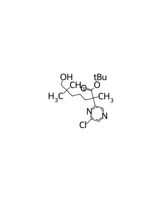 CC(C)(CO)CCCC(C)(C(=O)OC(C)(C)C)c1cncc(Cl)n1